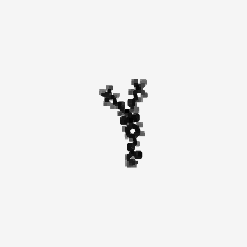 CC(C)CC(=O)OCc1ccc(S(=O)(=O)N(COCC[Si](C)(C)C)COCC[Si](C)(C)C)cc1